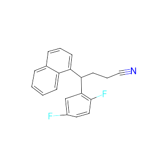 N#CCCC(c1cc(F)ccc1F)c1cccc2ccccc12